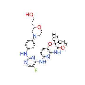 CC1(C)Oc2ccc(Nc3nc(Nc4ccc(N5CCOC(CCO)C5)cc4)ncc3F)nc2NC1=O